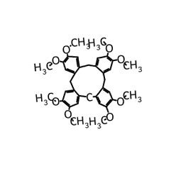 COc1cc2c(cc1OC)Cc1cc(OC)c(OC)cc1Cc1cc(OC)c(OC)cc1Cc1cc(OC)c(OC)cc1C2